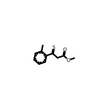 COC(=O)[CH]C(=S)c1ccccc1C